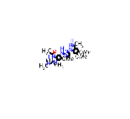 C=CC(=O)Nc1cc(Nc2nccc(Nc3cc(OC)c(OC)cc3C(C)=N)n2)c(OC)cc1N(C)CCN(C)C